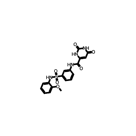 COc1ccccc1NS(=O)(=O)c1cccc(NC(=O)c2cc(=O)[nH]c(=O)[nH]2)c1